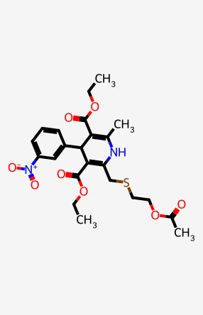 CCOC(=O)C1=C(C)NC(CSCCOC(C)=O)=C(C(=O)OCC)C1c1cccc([N+](=O)[O-])c1